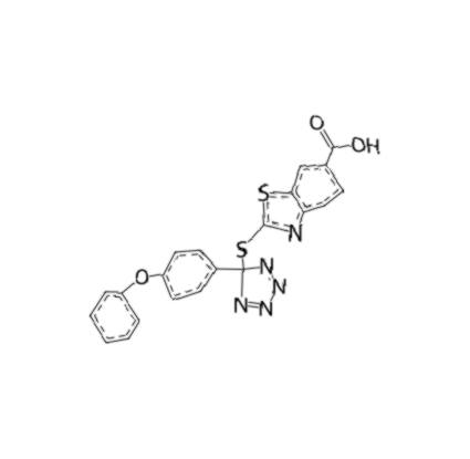 O=C(O)c1ccc2nc(SC3(c4ccc(Oc5ccccc5)cc4)N=NN=N3)sc2c1